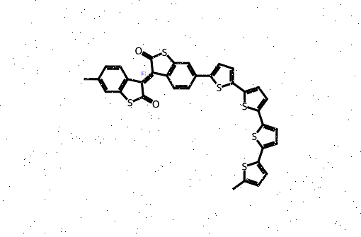 Cc1ccc2c(c1)SC(=O)/C2=C1/C(=O)Sc2cc(-c3ccc(-c4ccc(-c5ccc(-c6ccc(C)s6)s5)s4)s3)ccc21